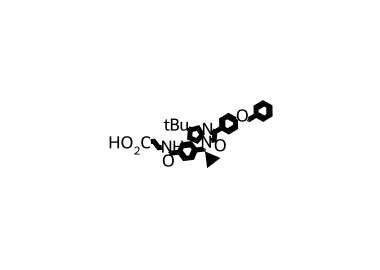 CC(C)(C)C1CCC2(C1)N=C(c1ccc(OCc3ccccc3)cc1)C(=O)N2[C@@H](c1ccc(C(=O)NCCC(=O)O)cc1)C1CC1